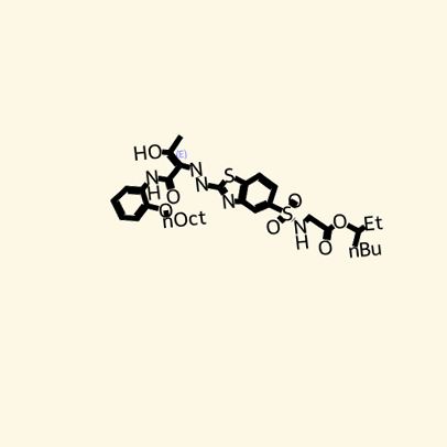 CCCCCCCCOc1ccccc1NC(=O)/C(N=Nc1nc2cc(S(=O)(=O)NCC(=O)OC(CC)CCCC)ccc2s1)=C(/C)O